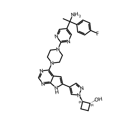 CC(N)(c1ccc(F)cc1)c1cnc(N2CCN(c3ncnc4[nH]c(-c5cnn([C@@H]6CC[C@H]6O)c5)cc34)CC2)nc1